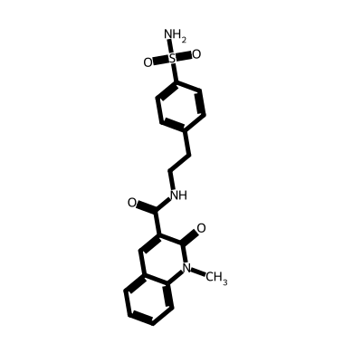 Cn1c(=O)c(C(=O)NCCc2ccc(S(N)(=O)=O)cc2)cc2ccccc21